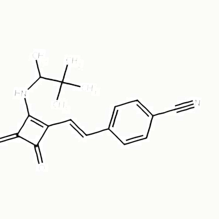 CC(Nc1c(C=Cc2ccc(C#N)cc2)c(=O)c1=O)C(C)(C)C